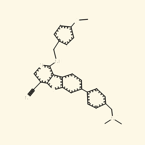 COc1ccc(CNc2ncc(C#N)c3sc4cc(-c5ccc(CN(C)C)cc5)ccc4c23)cc1